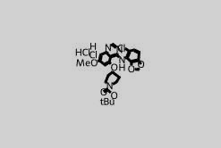 COc1cc(OC2CCN(C(=O)OC(C)(C)C)CC2)c2c(Nc3c(Cl)ccc4c3OCO4)ncnc2c1.Cl.Cl